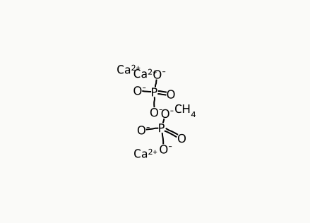 C.O=P([O-])([O-])[O-].O=P([O-])([O-])[O-].[Ca+2].[Ca+2].[Ca+2]